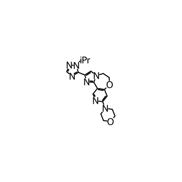 CC(C)n1ncnc1-c1cn2c(n1)-c1cnc(N3CCOCC3)cc1OCC2